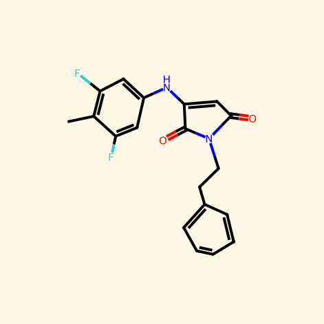 Cc1c(F)cc(NC2=CC(=O)N(CCc3ccccc3)C2=O)cc1F